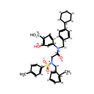 Cc1ccc(S(=O)(=O)N(CC(=O)N(Cc2ccc(C3CCCCC3)cc2)c2ccc(C(=O)O)c(O)c2)Cc2ccccc2C)cc1